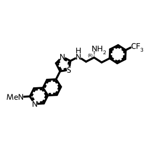 CNc1cc2cc(-c3cnc(NC[C@H](N)Cc4ccc(C(F)(F)F)cc4)s3)ccc2cn1